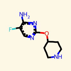 Nc1nc(OC2CCNCC2)ncc1F